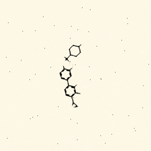 CCCC1CCC(C(F)(F)Oc2ccc(-c3ccc(C4CO4)c(F)c3F)cc2F)CC1